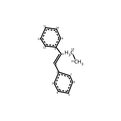 C(=Cc1ccccc1)c1ccccc1.CC